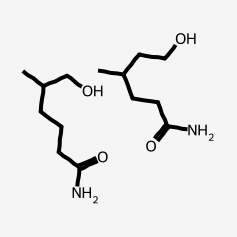 CC(CCO)CCC(N)=O.CC(CO)CCCC(N)=O